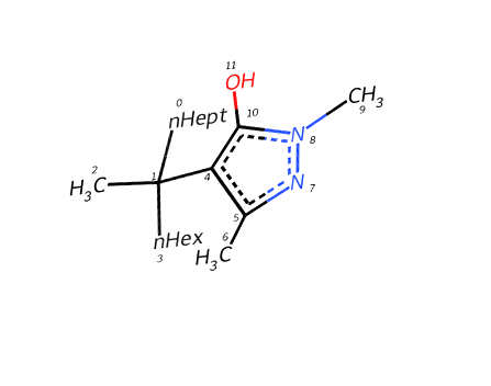 CCCCCCCC(C)(CCCCCC)c1c(C)nn(C)c1O